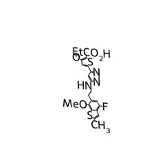 CCOc1cc(-c2cc(NCCc3cc(F)c4cc(C)sc4c3OC)ncn2)sc1C(=O)O